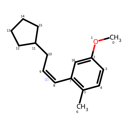 COc1ccc(C)c(/C=C\CC2CCCC2)c1